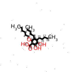 CCCCCCOc1c(CCCCC)c(CCCCC)c(O)c(O)c1C(=O)O